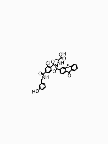 C[C@H](NN(C(=O)c1ccc2c(=O)c3ccccc3sc2c1)C(=O)c1ccc(C(=O)NCc2cccc(O)c2)cc1Cl)C(=O)O